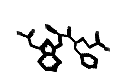 N#C/C(=C\c1cn(CC(=O)O)c2ccccc12)C(=O)N(CCC(=O)O)Cc1ccccc1